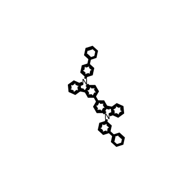 C1=CCCC(c2ccc(-n3c4ccccc4c4cc(-c5ccc6c(c5)c5ccccc5n6-c5cccc(C6=CCCC=C6)c5)ccc43)cc2)=C1